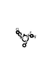 C=C1CN(Sc2ccc(N(C)C)cc2F)CCCN(CC2CCCCC2)CCCN(SN2CCc3cc(Cl)ccc3C2)C1